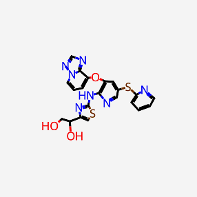 OCC(O)c1csc(Nc2ncc(Sc3ccccn3)cc2Oc2cccn3ncnc23)n1